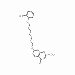 CCCc1ccccc1OCCCCCCCOc1ccc2c(=O)cc(C(=O)O)oc2c1